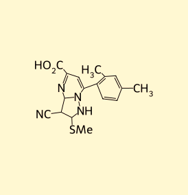 CSC1NN2C(c3ccc(C)cc3C)=CC(C(=O)O)=NC2C1C#N